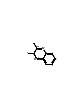 C[C]1Nc2ccccc2N=C1C